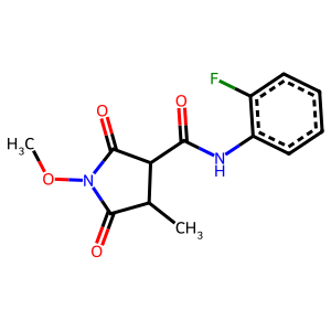 CON1C(=O)C(C)C(C(=O)Nc2ccccc2F)C1=O